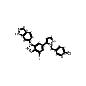 Fc1cc(-c2ccnn2Cc2ccc(Cl)cc2)cc2c1nnn2-c1ccc2cn[nH]c2c1